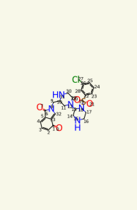 O=C1C=CC=C2C(=O)N(CC3CN(C4CNCCN4S(=O)(=O)c4cccc(Cl)c4)CCN3)C=C12